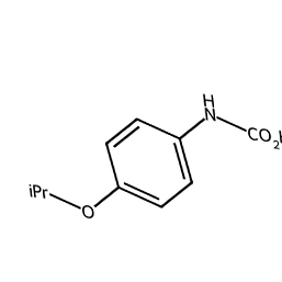 CC(C)Oc1ccc(NC(=O)O)cc1